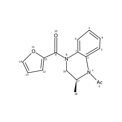 CC(=O)N1c2ccccc2N(C(=O)c2ccco2)C[C@@H]1C